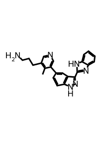 Cc1c(CCCN)cncc1-c1ccc2[nH]nc(-c3nc4ccccc4[nH]3)c2c1